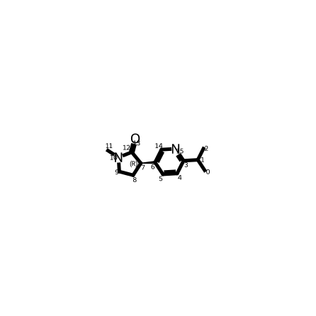 CC(C)c1ccc([C@H]2CCN(C)C2=O)cn1